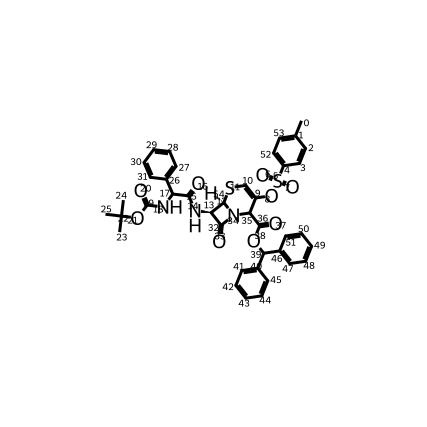 Cc1ccc(S(=O)(=O)OC2=CS[C@@H]3[C@H](NC(=O)C(NC(=O)OC(C)(C)C)c4ccccc4)C(=O)N3C2C(=O)OC(c2ccccc2)c2ccccc2)cc1